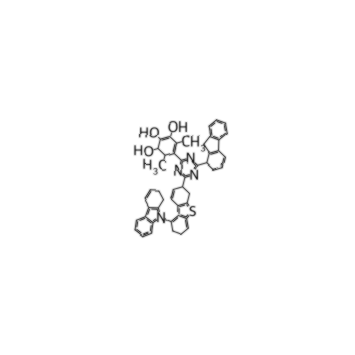 CC1=C(c2nc(C3C=Cc4c(sc5c4=C(n4c6c(c7ccccc74)C=CCC6)CCC=5)C3)nc(C3CC=CC4=C3Cc3ccccc34)n2)C(C)C(O)C(O)=C1O